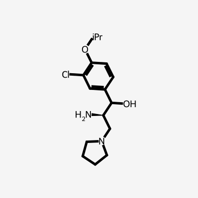 CC(C)Oc1ccc(C(O)[C@H](N)CN2CCCC2)cc1Cl